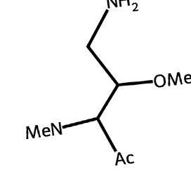 CNC(C(C)=O)C(CN)OC